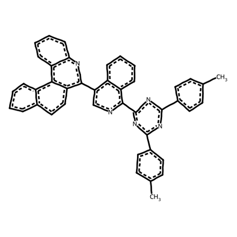 Cc1ccc(-c2nc(-c3ccc(C)cc3)nc(-c3ncc(-c4nc5ccccc5c5c4ccc4ccccc45)c4ccccc34)n2)cc1